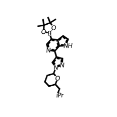 CC(C)CC1CCCC(n2cc(-c3ncc(B4OC(C)(C)C(C)(C)O4)c4cc[nH]c34)cn2)O1